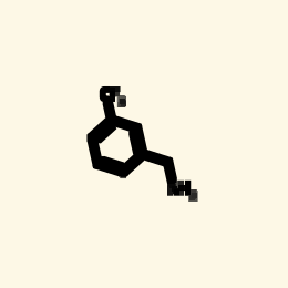 NCc1[c]ccc(C(F)(F)F)c1